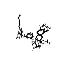 CC1(C)Cc2c(ccc3[nH]ncc23)[C@@H](c2ncc(NC3CN(CCCF)C3)cc2F)N1CC(F)F